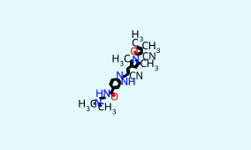 Cc1oc(-n2c(C)cc(C=C(C#N)c3nc4ccc(C(=O)NCCN(C)C)cc4[nH]3)c2C)c(C#N)c1C